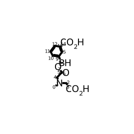 CN(CC(=O)O)CC(=O)OBc1cccc(C(=O)O)c1